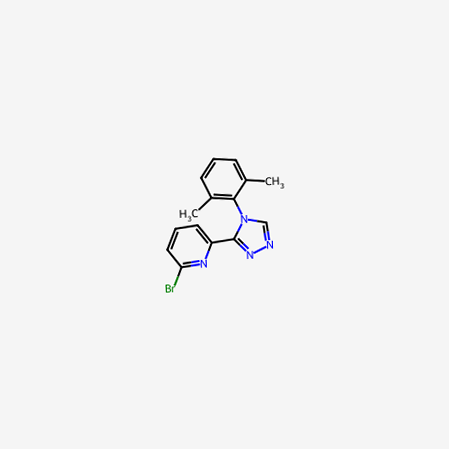 Cc1cccc(C)c1-n1cnnc1-c1cccc(Br)n1